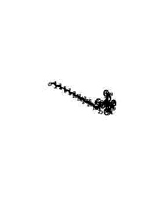 CCCCCCCCCCCCCCCCCCCC(C)C(=O)OCC(COC(C)=O)(COC(C)=O)COC(C)=O